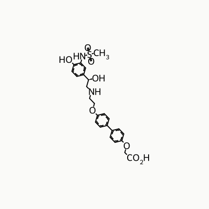 CS(=O)(=O)Nc1cc([C@@H](O)CNCCOc2ccc(-c3ccc(OCC(=O)O)cc3)cc2)ccc1O